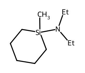 CCN(CC)[Si]1(C)CCCCC1